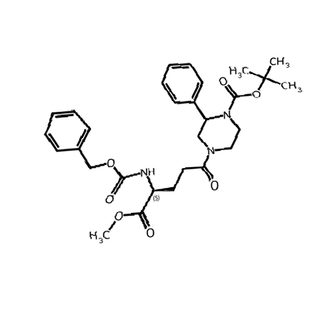 COC(=O)[C@H](CCC(=O)N1CCN(C(=O)OC(C)(C)C)C(c2ccccc2)C1)NC(=O)OCc1ccccc1